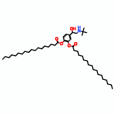 CCCCCCCCCCCCCCCCCC(=O)Oc1ccc(C(O)CNC(C)(C)C)cc1OC(=O)CCCCCCCCCCCCCCCCC